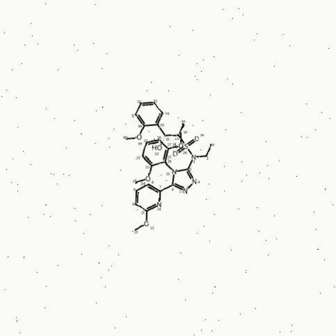 CCN(c1nnc(-c2cccc(OC)n2)n1-c1c(OC)cccc1OC)S(=O)(=O)[C@H](C)[C@H](O)c1ccccc1OC